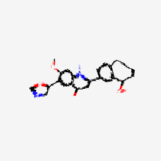 COc1cc2[nH]c(-c3ccc4c(c3)C(O)CCC4)cc(=O)c2cc1-c1cnco1